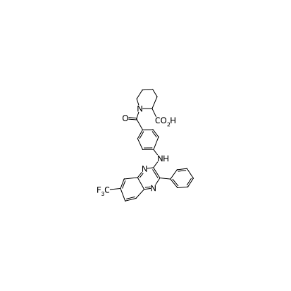 O=C(O)C1CCCCN1C(=O)c1ccc(Nc2nc3cc(C(F)(F)F)ccc3nc2-c2ccccc2)cc1